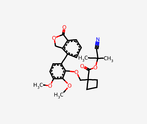 COc1ccc(-c2cccc3c2COC3=O)c(OCC2(C(=O)OC(C)(C)C#N)CCC2)c1OC